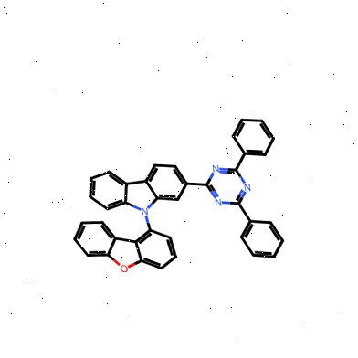 c1ccc(-c2nc(-c3ccccc3)nc(-c3ccc4c5ccccc5n(-c5cccc6oc7ccccc7c56)c4c3)n2)cc1